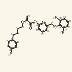 C=C(OCCCCc1ccc(F)cc1)C(=O)Oc1cccc(CSc2c(F)cccc2F)n1